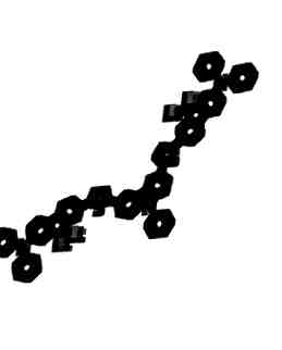 CCC1(CC)c2cc(-c3ccc(-c4ccc5c(c4)c4cc(-c6ccc(-c7ccc8c(c7)C(CC)(CC)c7cc(N(c9ccccc9)c9ccccc9)ccc7-8)s6)ccc4n5-c4ccccc4)s3)ccc2-c2ccc(N(c3ccccc3)c3ccccc3)cc21